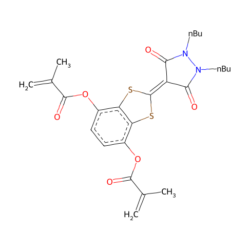 C=C(C)C(=O)Oc1ccc(OC(=O)C(=C)C)c2c1SC(=C1C(=O)N(CCCC)N(CCCC)C1=O)S2